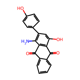 Nc1c(-c2ccc(O)cc2)cc(O)c2c1C(=O)c1ccccc1C2=O